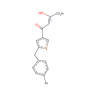 CC(=O)c1ccc(Cc2cc(C(=O)/C=C(\O)C(=O)O)cs2)cc1